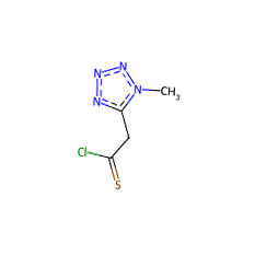 Cn1nnnc1CC(=S)Cl